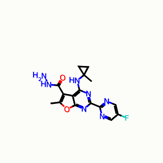 Cc1oc2nc(-c3ncc(F)cn3)nc(NC3(C)CC3)c2c1C(=O)NN